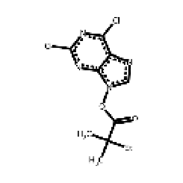 CCC(C)(C)C(=O)On1cnc2c(Cl)nc(Cl)nc21